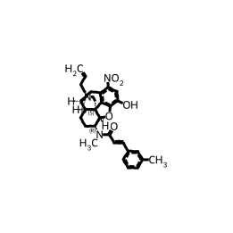 C=CCN1CC[C@]23c4c5c([N+](=O)[O-])cc(O)c4O[C@H]2[C@H](N(C)C(=O)C=Cc2cccc(C)c2)CC[C@H]3[C@H]1C5